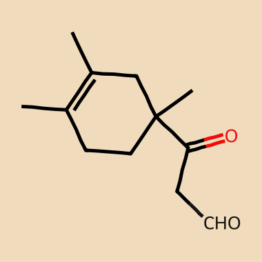 CC1=C(C)CC(C)(C(=O)CC=O)CC1